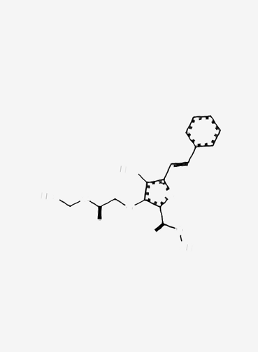 CCOC(=O)COc1c(C(=O)OC)sc(C=Cc2ccccc2)c1C